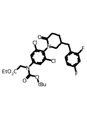 CCOC(=O)CN(C(=O)OC(C)(C)C)c1cc(Cl)c(N2CC(Cc3ccc(F)cc3F)CCC2=O)c(Cl)c1